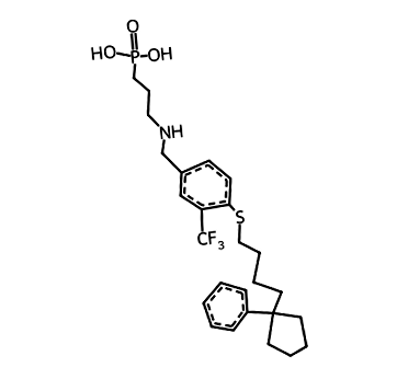 O=P(O)(O)CCCNCc1ccc(SCCCCC2(c3ccccc3)CCCC2)c(C(F)(F)F)c1